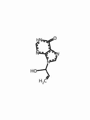 C=CC(O)n1cnc2c(=O)[nH]cnc21